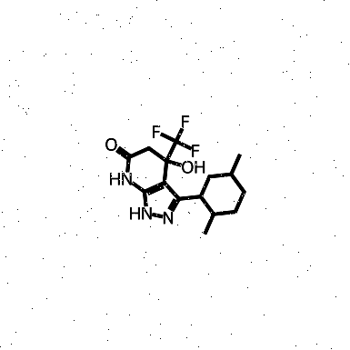 CC1CCC(C)C(c2n[nH]c3c2C(O)(C(F)(F)F)CC(=O)N3)C1